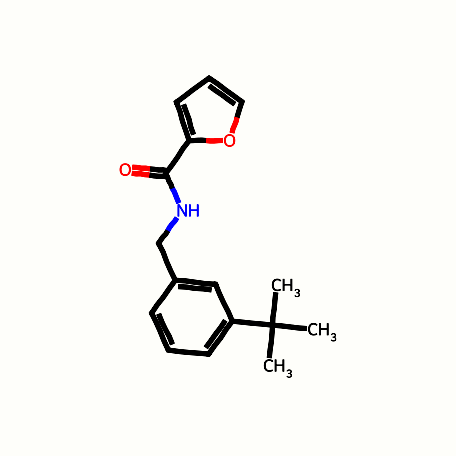 CC(C)(C)c1cccc(CNC(=O)c2ccco2)c1